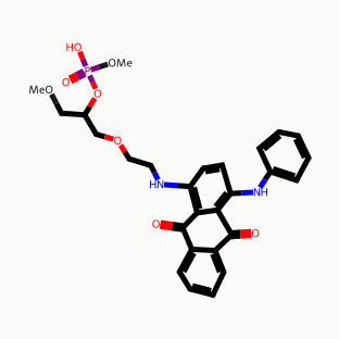 COCC(COCCNc1ccc(Nc2ccccc2)c2c1C(=O)c1ccccc1C2=O)OP(=O)(O)OC